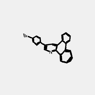 Brc1ccc(-c2cnc3c4ccccc4c4ccccc4c3c2)cc1